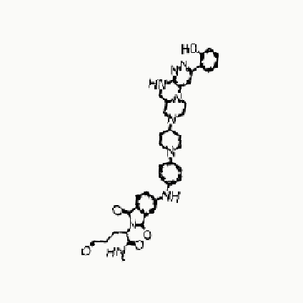 CNC(=O)C(CCC=O)N1C(=O)c2ccc(Nc3ccc(N4CCC(N5CCN6c7cc(-c8ccccc8O)nnc7NCC6C5)CC4)cc3)cc2C1=O